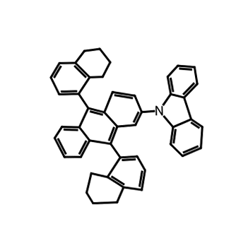 c1cc2c(c(-c3c4ccccc4c(-c4cccc5c4CCCC5)c4cc(-n5c6ccccc6c6ccccc65)ccc34)c1)CCCC2